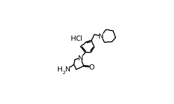 Cl.NC1CC(=O)N(c2ccc(CN3CCCCC3)cc2)C1